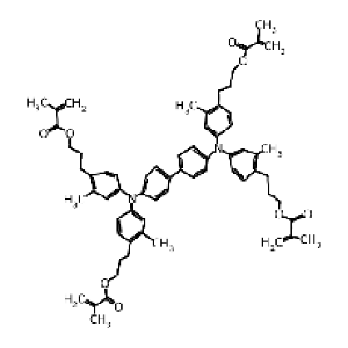 C=C(C)C(=O)OCCCc1ccc(N(c2ccc(-c3ccc(N(c4ccc(CCCOC(=O)C(=C)C)c(C)c4)c4ccc(CCCOC(=O)C(=C)C)c(C)c4)cc3)cc2)c2ccc(CCCOC(=O)C(=C)C)c(C)c2)cc1C